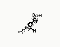 CCCCCn1cc(C#N)c2cc(-c3cc(C(=O)O)no3)ccc21